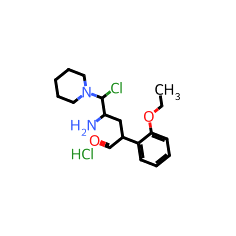 CCOc1ccccc1C(C=O)CC(N)C(Cl)N1CCCCC1.Cl